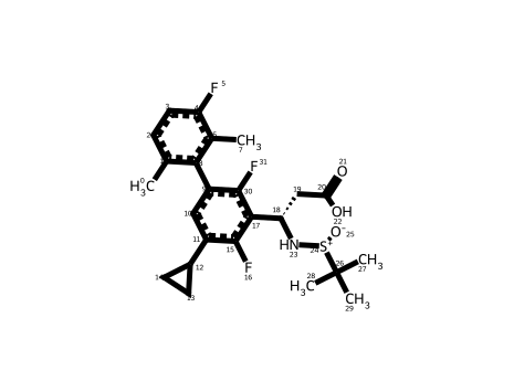 Cc1ccc(F)c(C)c1-c1cc(C2CC2)c(F)c([C@H](CC(=O)O)N[S@+]([O-])C(C)(C)C)c1F